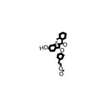 Cc1ccccc1C(=O)c1sc2cc(O)ccc2c1Oc1ccc(/C=C/OC=O)cc1